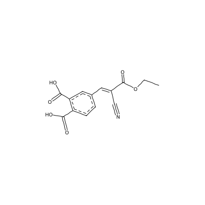 CCOC(=O)/C(C#N)=C/c1ccc(C(=O)O)c(C(=O)O)c1